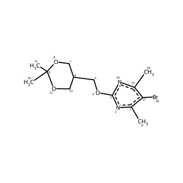 Cc1nc(OCC2COC(C)(C)OC2)nc(C)c1Br